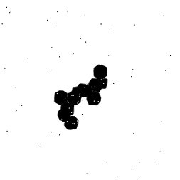 c1ccc(C(c2ccc3c(c2)-c2ccc(N(c4ccccc4)c4ccc5c(ccn5-c5ccccc5)c4)cc2C3)c2ccc3c(ccn3-c3ccccc3)c2)cc1